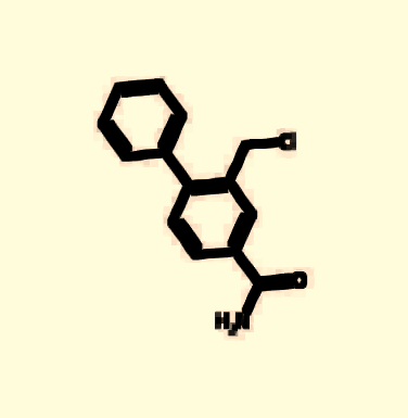 NC(=O)c1ccc(-c2ccccc2)c(CCl)c1